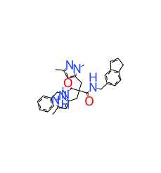 Cc1cc(CC(Cc2cc(C)nn2C)(C(=O)NCc2ccccc2)C(=O)NCc2ccc3c(c2)C=CC3)n(C)n1